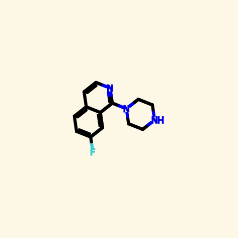 Fc1ccc2ccnc(N3CCNCC3)c2c1